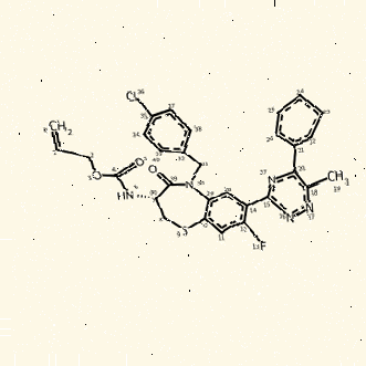 C=CCOC(=O)N[C@H]1CSc2cc(F)c(-c3nnc(C)c(-c4ccccc4)n3)cc2N(Cc2ccc(Cl)cc2)C1=O